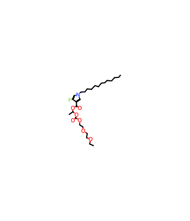 CCCCCCCCCCCCCn1cc(F)c(C(=O)OC(C)OC(=O)OCCOCCOCC)c1